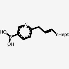 CCCCCCCC=CCc1ccc(B(O)O)cn1